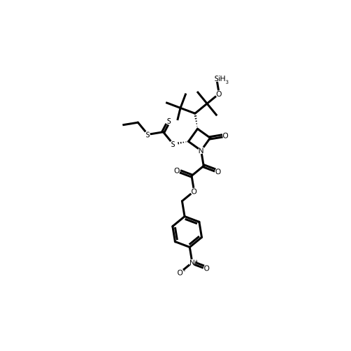 CCSC(=S)S[C@@H]1[C@H](C(C(C)(C)C)C(C)(C)O[SiH3])C(=O)N1C(=O)C(=O)OCc1ccc([N+](=O)[O-])cc1